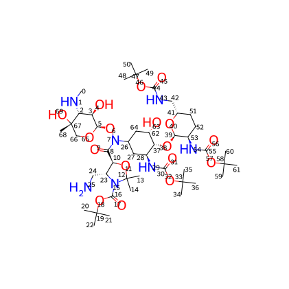 CN[C@@H]1[C@@H](O)[C@@H](ON(C(=O)[C@H]2OC(C)(C)N(C(=O)OC(C)(C)C)[C@@H]2CN)C2C[C@H](NC(=O)OC(C)(C)C)[C@@H](O[C@H]3O[C@H](CNC(=O)OC(C)(C)C)CC[C@H]3NC(=O)OC(C)(C)C)[C@@H](O)C2)OC[C@]1(C)O